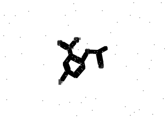 CC(=O)Oc1ccc(F)cc1[N+](=O)[O-]